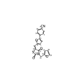 N#Cc1ccc(-c2ccc(/C=C3/SC(=O)N(Cc4ccco4)C3=O)o2)cc1